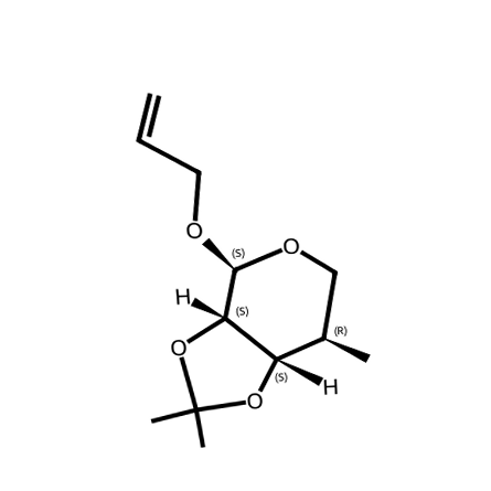 C=CCO[C@H]1OC[C@@H](C)[C@@H]2OC(C)(C)O[C@H]12